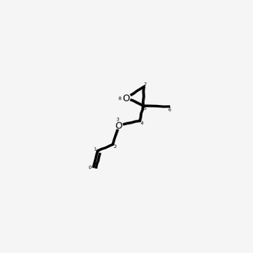 C=CCOCC1(C)CO1